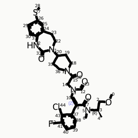 COC[C@@H](C)N(C)C(=O)/C(=C\N(C=O)CC(=O)N1CCC(N2CCc3cc(SC)ccc3NC2=O)CC1)c1cccc(F)c1Cl